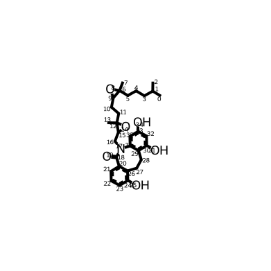 CC(C)CCCC1(C)OC1CCC1(C)OC1CN1C(=O)c2cccc(O)c2CCc2c(O)cc(O)cc21